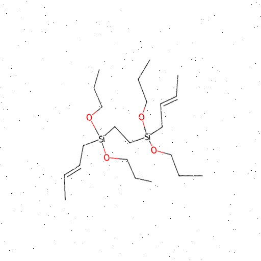 CC=CC[Si](CC[Si](CC=CC)(OCCC)OCCC)(OCCC)OCCC